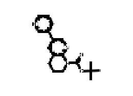 CC(C)(C)OC(=O)N1CCCc2cc(-c3cccnc3)cnc21